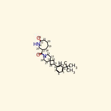 CC(C)(C)c1cccc(C2CC3(CCN(C(=O)[C@@H]4CCCCC(=O)NC4)CC3)C2)c1